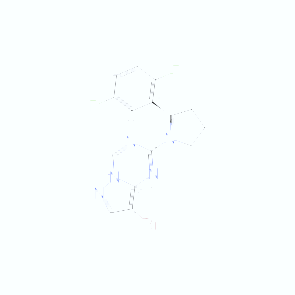 Fc1ccc(F)c([C@H]2CCCN2c2ncn3ncc(Br)c3n2)c1